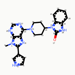 Cn1c(-c2cc[nH]c2)nc2c(N3CCC(n4c(=O)[nH]c5ccccc54)CC3)ncnc21